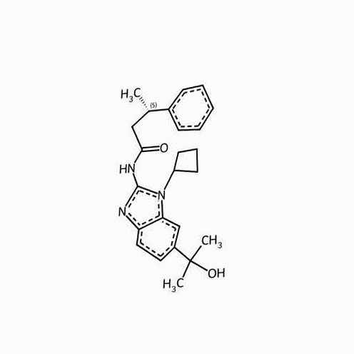 C[C@@H](CC(=O)Nc1nc2ccc(C(C)(C)O)cc2n1C1CCC1)c1ccccc1